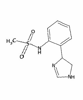 CS(=O)(=O)Nc1ccccc1C1CNC=N1